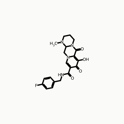 CN1CCCN2C(=O)c3c(O)c(=O)c(C(=O)NCc4ccc(F)cc4)cn3CC12